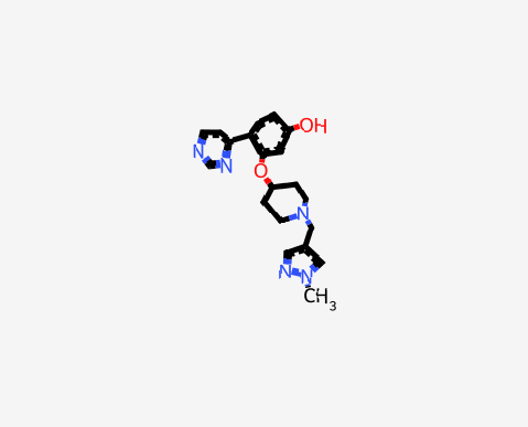 Cn1cc(CN2CCC(Oc3cc(O)ccc3-c3ccncn3)CC2)cn1